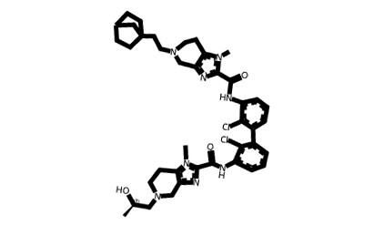 C[C@@H](O)CN1CCc2c(nc(C(=O)Nc3cccc(-c4cccc(NC(=O)c5nc6c(n5C)CCN(CCC57CCC(CC5)C7)C6)c4Cl)c3Cl)n2C)C1